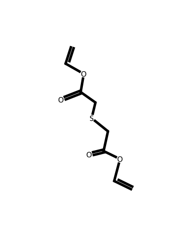 C=COC(=O)CSCC(=O)OC=C